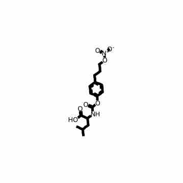 CC(C)CC(NC(=O)Oc1ccc(CCCO[N+](=O)[O-])cc1)C(=O)O